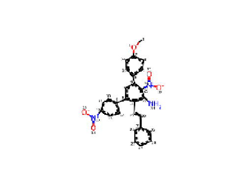 COc1ccc(-c2cc(-c3ccc([N+](=O)[O-])cc3)c(C=Cc3ccccc3)c(N)c2[N+](=O)[O-])cc1